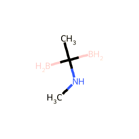 BC(B)(C)NC